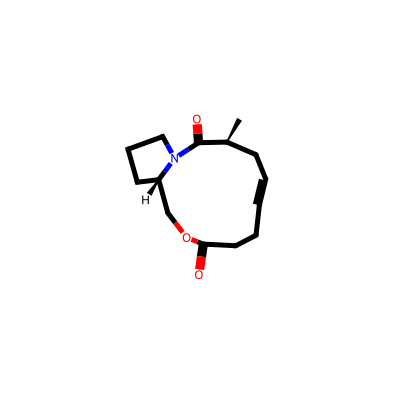 C[C@H]1C/C=C/CCC(=O)OC[C@@H]2CCCN2C1=O